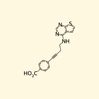 O=C(O)c1ccc(C#CCCNc2ncnc3sccc23)cc1